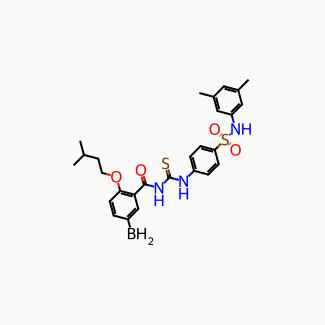 Bc1ccc(OCCC(C)C)c(C(=O)NC(=S)Nc2ccc(S(=O)(=O)Nc3cc(C)cc(C)c3)cc2)c1